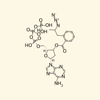 CC(Cc1ccccc1C(=O)OC1C[C@H](n2cnc3c(N)ncnc32)O[C@@H]1COP(=O)(O)OP(=O)(O)OP(=O)(O)O)N=[N+]=[N-]